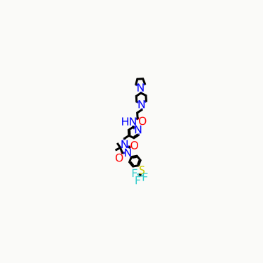 CC1(C)C(=O)N(c2ccc(SC(F)(F)F)cc2)C(=O)N1Cc1ccnc(NC(=O)CCN2CCC(N3CCCC3)CC2)c1